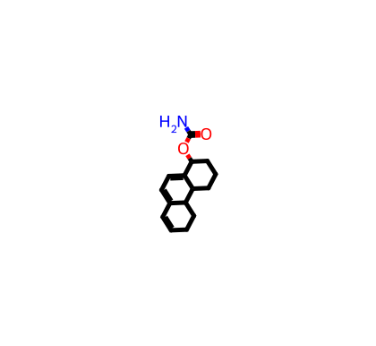 NC(=O)OC1CCCC2C1=CC=C1C=CCCC12